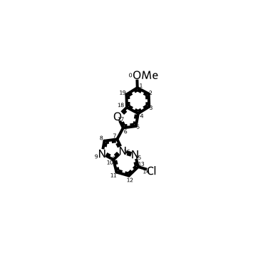 COc1ccc2cc(-c3cnc4ccc(Cl)nn34)oc2c1